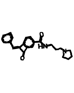 O=C(NCCCN1CCCC1)c1ccc2c(c1)C(=O)C2=Cc1ccccc1